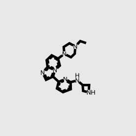 CCN1CCN(c2ccc3ncc(-c4cccc(NC5CNC5)n4)n3c2)CC1